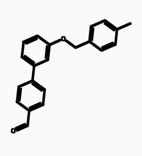 Cc1ccc(COc2cccc(-c3ccc(C=O)cc3)c2)cc1